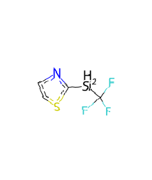 FC(F)(F)[SiH2]c1nccs1